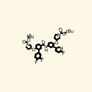 CC(C)(C)OC(=O)N1CC[C@H](Oc2ccc(NC(=O)c3ccc(O[C@H]4CCN(C(=O)OC(C)(C)C)C4)c(-c4ccc(F)c(F)c4)c3)cc2-c2ccc(F)nc2)C1